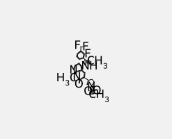 C[C@@H](Nc1ccnc2c1cc(C1CCN(S(C)(=O)=O)C1)c(=O)n2C)c1cccc(C(F)F)c1F